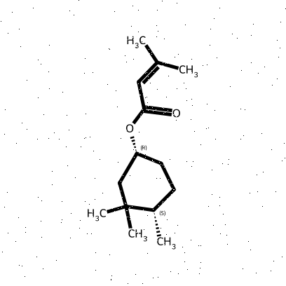 CC(C)=CC(=O)O[C@@H]1CC[C@H](C)C(C)(C)C1